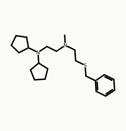 CN(CCSCc1ccccc1)CCN(C1CCCC1)C1CCCC1